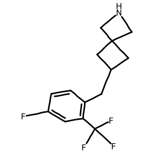 Fc1ccc(CC2CC3(CNC3)C2)c(C(F)(F)F)c1